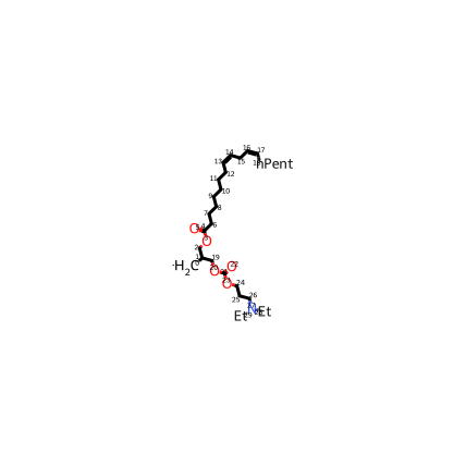 [CH2]C(COC(=O)CCCCCCC/C=C\C/C=C\CCCCC)COC(=O)OCCCN(CC)CC